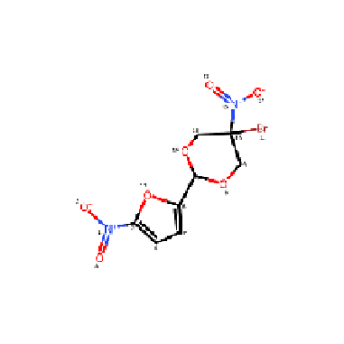 O=[N+]([O-])c1ccc(C2OCC(Br)([N+](=O)[O-])CO2)o1